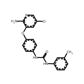 Cc1cccc(NC(=O)Nc2ccc(Oc3cc(Cl)cnc3N)cc2)c1